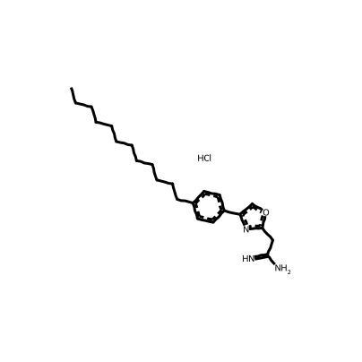 CCCCCCCCCCCCc1ccc(-c2coc(CC(=N)N)n2)cc1.Cl